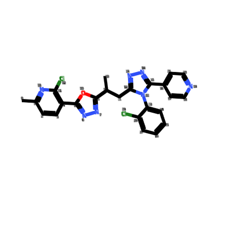 Cc1ccc(-c2nnc(C(C)Cc3nnc(-c4ccncc4)n3-c3ccccc3Cl)o2)c(Cl)n1